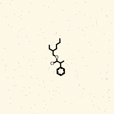 CCCCC(CC)COC(Cl)C(C)c1ccccc1